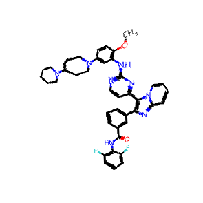 COc1ccc(N2CCC(N3CCCCC3)CC2)cc1Nc1nccc(-c2c(-c3cccc(C(=O)Nc4c(F)cccc4F)c3)nc3ccccn23)n1